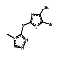 Cn1cnnc1Sc1nc(C(C)(C)C)c(Br)s1